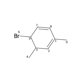 CC1=CC(C)[C](Br)C=C1